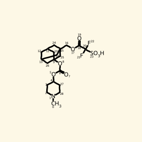 CN1CCC(OC(=O)OC23CC4CC(CC(COC(=O)C(F)(F)S(=O)(=O)O)(C4)C2)C3)CC1